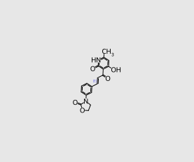 Cc1cc(O)c(C(=O)/C=C/c2cccc(N3CCOC3=O)c2)c(=O)[nH]1